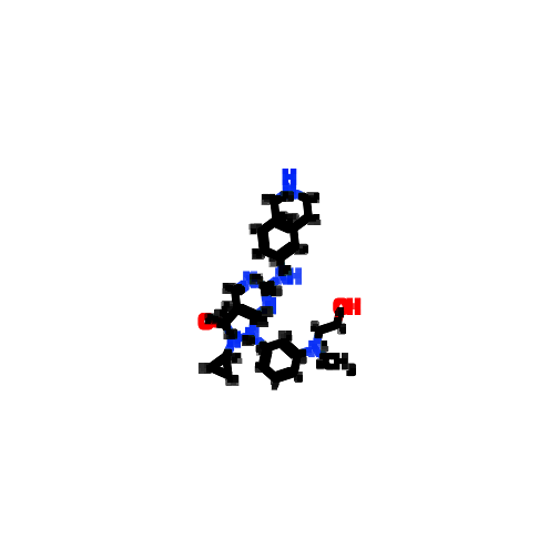 CN(CCO)c1cccc(-n2c3nc(Nc4ccc5c(c4)CCNC5)ncc3c(=O)n2C2CC2)c1